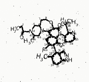 C=CC(=O)N1CC2CCOc3c(c4cc(F)c(-c5c(C)ccc6[nH]ncc56)c(Cl)c4n(-c4c(C)ccnc4C(C)C)c3=O)N2CC1C